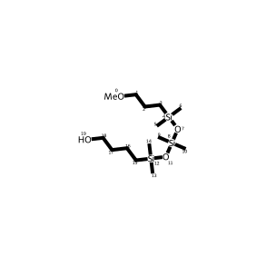 COCCC[Si](C)(C)O[Si](C)(C)O[Si](C)(C)CCCCO